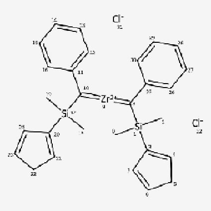 C[Si](C)(C1=CCC=C1)[C](=[Zr+2]=[C](c1ccccc1)[Si](C)(C)C1=CCC=C1)c1ccccc1.[Cl-].[Cl-]